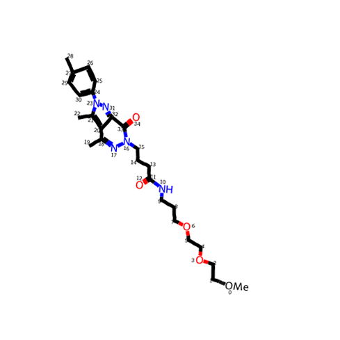 COCCOCCOCCCNC(=O)CCCn1nc(C)c2c(C)n(-c3ccc(C)cc3)nc2c1=O